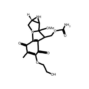 COC12C(COC(N)=O)C3=C(C(=O)C(C)=C(OCCO)C3=O)N1C[C@@H]1NC12